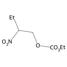 CCOC(=O)OCC(CC)[N+](=O)[O-]